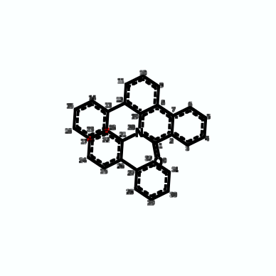 O=c1c2ccccc2c2cccc(-c3ccccc3)c2n1-c1ccccc1-c1ccccc1